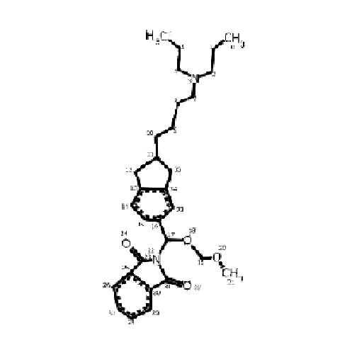 CCCN(CCC)CCCCC1Cc2ccc(C(OCOC)N3C(=O)c4ccccc4C3=O)cc2C1